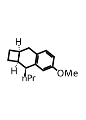 CCC[C@@H]1c2cc(OC)ccc2C[C@@H]2CC[C@@H]21